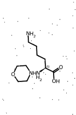 C1COCCN1.NCCCC[C@H](N)C(=O)O